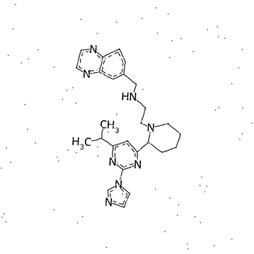 CC(C)c1cc(C2CCCCN2CCNCc2ccc3nccnc3c2)nc(-n2ccnc2)n1